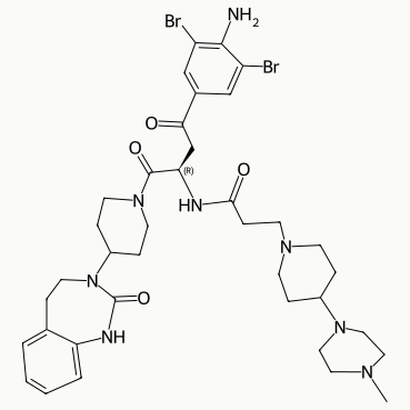 CN1CCN(C2CCN(CCC(=O)N[C@H](CC(=O)c3cc(Br)c(N)c(Br)c3)C(=O)N3CCC(N4CCc5ccccc5NC4=O)CC3)CC2)CC1